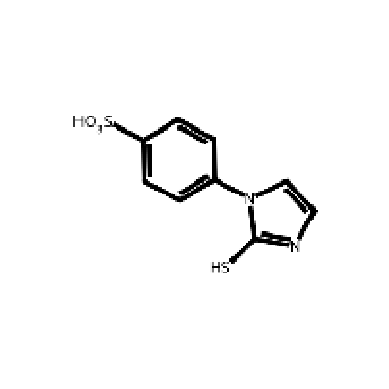 O=S(=O)(O)c1ccc(-n2ccnc2S)cc1